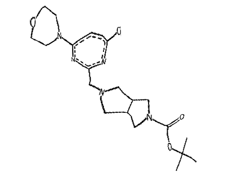 CC(C)(C)OC(=O)N1CC2CN(Cc3nc(Cl)cc(N4CCOCC4)n3)CC2C1